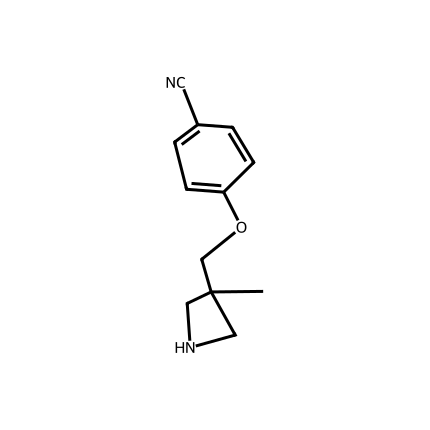 CC1(COc2ccc(C#N)cc2)CNC1